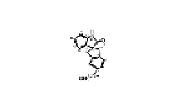 O=CNc1ccc2c(c1)CC1(C2)C(=O)Nc2ncccc21